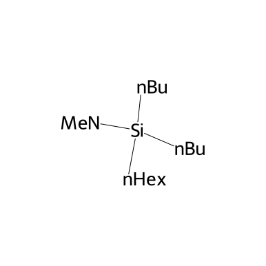 CCCCCC[Si](CCCC)(CCCC)NC